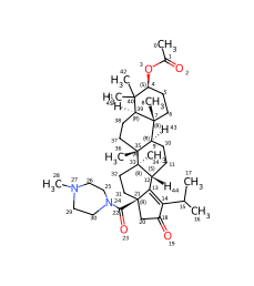 CC(=O)O[C@H]1CC[C@]2(C)[C@H]3CC[C@@H]4C5=C(C(C)C)C(=O)C[C@]5(C(=O)N5CCN(C)CC5)CC[C@@]4(C)[C@]3(C)CC[C@H]2C1(C)C